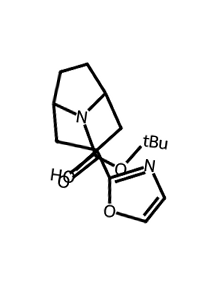 CC(C)(C)OC(=O)N1C2CCC1CC(O)(c1ncco1)C2